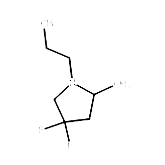 CCCN1CC(F)(F)CC1C